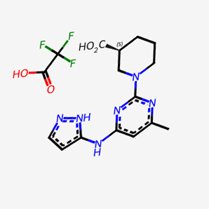 Cc1cc(Nc2ccn[nH]2)nc(N2CCC[C@H](C(=O)O)C2)n1.O=C(O)C(F)(F)F